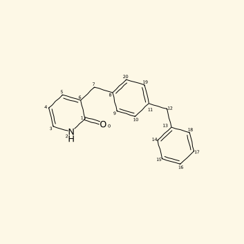 O=c1[nH]cccc1Cc1ccc(Cc2ccccc2)cc1